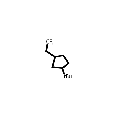 CC(C)(C)C1CCC(CC(F)(F)F)C1